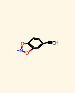 C#Cc1ccc2c(c1)ONO2